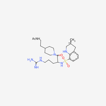 CC(=O)NCCC1CCN(C(=O)C(CCCNC(=N)N)NS(=O)(=O)c2cccc3c2NC[C@@H](C)C3)CC1